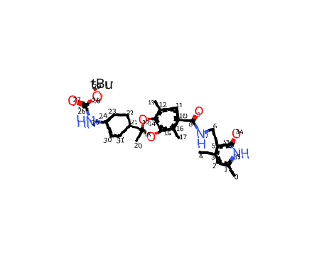 Cc1cc(C)c(CNC(=O)c2cc(C)c3c(c2C)OC(C)(C2CCC(NC(=O)OC(C)(C)C)CC2)O3)c(=O)[nH]1